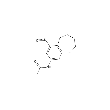 CC(=O)Nc1cc2c(c(N=O)c1)CCCCC2